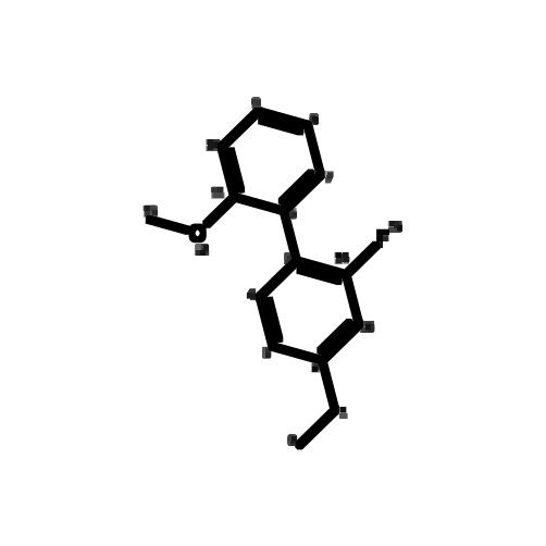 CCc1ccc(-c2ccccc2OC)c(F)c1